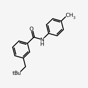 Cc1ccc(NC(=O)c2cccc(CC(C)(C)C)c2)cc1